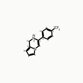 FC(F)(F)c1ccc(C2=Cn3cccc3CN2)cc1